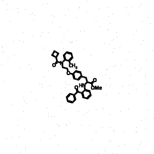 COC(=O)C(Cc1ccc(OCCN(C(=O)C2CCC2)c2ccccc2C)cc1)Nc1ccccc1C(=O)c1ccccc1